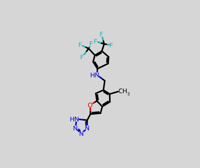 Cc1cc2cc(-c3nnn[nH]3)oc2cc1CNc1ccc(C(F)(F)F)c(C(F)(F)F)c1